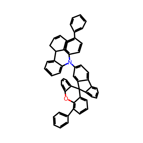 C1=CCC(c2ccccc2N(c2ccc(-c3ccccc3)cc2)c2ccc3c(c2)C2(c4ccccc4Oc4c(-c5ccccc5)cccc42)c2ccccc2-3)C=C1